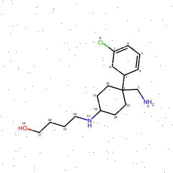 NCC1(C2C=CC=C(Cl)C2)CCC(NCCCCO)CC1